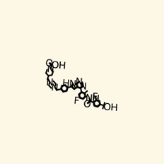 Cc1c(NC(=O)c2ccc(C(C)(C)O)cc2F)cc(F)cc1-c1ncnc2[nH]c(-c3ccc(CN4CCN(CC5CCN(C(=O)O)CC5)CC4)cc3)cc12